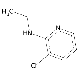 CCNc1ncccc1Cl